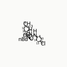 CCCCN=S(=O)(NC(=O)Nc1ccc(Cl)cc1)c1ccc(C)cc1